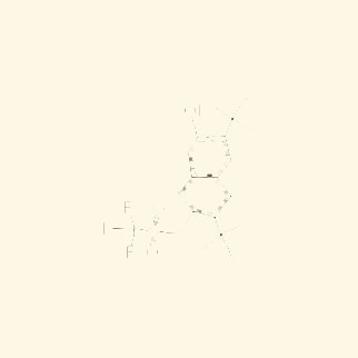 CC(C)(C)c1cc2cc(C(C)(C)C)c(OS(=O)(=O)C(F)(F)F)cc2cc1O